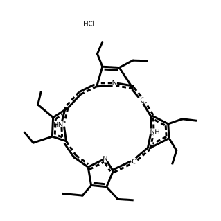 CCC1=C(CC)c2cc3[nH]c(cc4nc(cc5[nH]c(cc1n2)c(CC)c5CC)C(CC)=C4CC)c(CC)c3CC.Cl